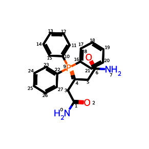 NC(=O)CC(CC(N)=O)=P(c1ccccc1)(c1ccccc1)c1ccccc1